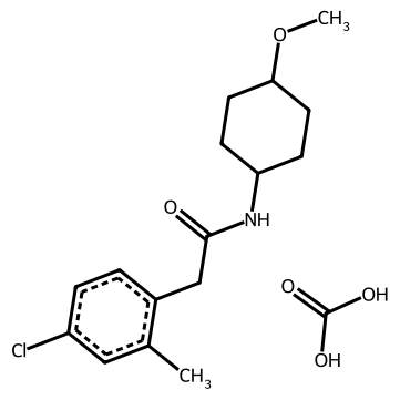 COC1CCC(NC(=O)Cc2ccc(Cl)cc2C)CC1.O=C(O)O